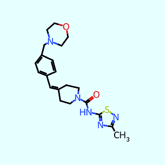 Cc1nsc(NC(=O)N2CCC(=Cc3ccc(CN4CCOCC4)cc3)CC2)n1